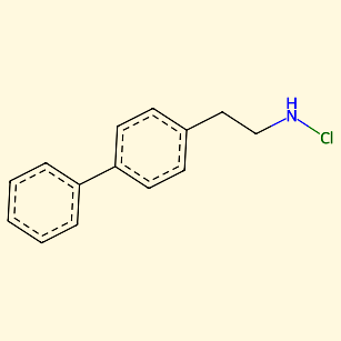 ClNCCc1ccc(-c2ccccc2)cc1